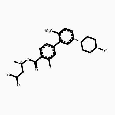 CCC[C@H]1CC[C@H](c2ccc(C(=O)O)c(-c3ccc(C(=O)O[C@H](C)CC(CC)CC)c(F)c3)c2)CC1